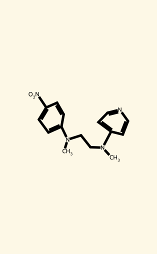 CN(CCN(C)c1ccc([N+](=O)[O-])cc1)c1ccncc1